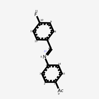 CC(=O)c1ccc(/N=C/c2ccc(F)cc2)cc1